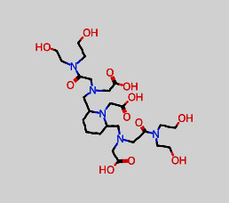 O=C(O)CN(CC(=O)N(CCO)CCO)CC1CCCC(CN(CC(=O)O)CC(=O)N(CCO)CCO)N1CC(=O)O